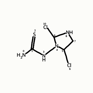 NC(=S)NN1C(Cl)CNC1Cl